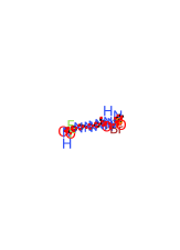 CCc1cc(Nc2ncc(Br)c(Cc3ccc4ncc(C)cc4c3P(C)(C)=O)n2)c(OC)cc1N1CCC(N2CCN(CCC3CCN(c4cc(F)c(C5CCC(=O)NC5=O)c(F)c4)CC3)CC2)CC1